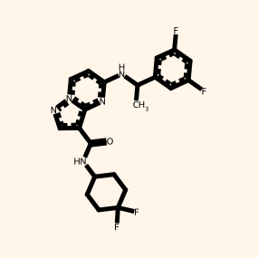 CC(Nc1ccn2ncc(C(=O)NC3CCC(F)(F)CC3)c2n1)c1cc(F)cc(F)c1